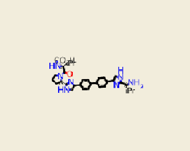 CC(C)[C@H](NC(=O)O)C(=O)N1CCC[C@H]1c1nc(-c2ccc(-c3ccc(-c4c[nH]c([C@@H](N)C(C)C)n4)cc3)cc2)c[nH]1